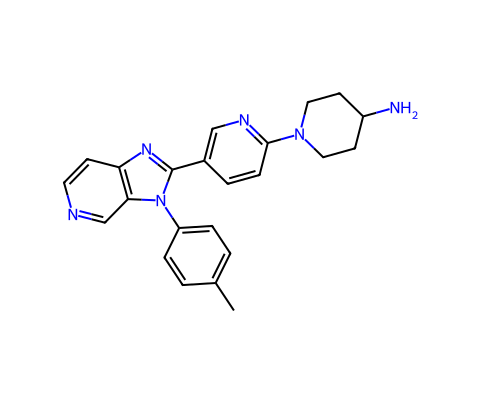 Cc1ccc(-n2c(-c3ccc(N4CCC(N)CC4)nc3)nc3ccncc32)cc1